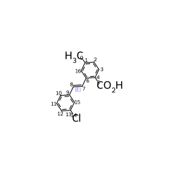 Cc1ccc(C(=O)O)c(/C=C/c2cccc(Cl)c2)c1